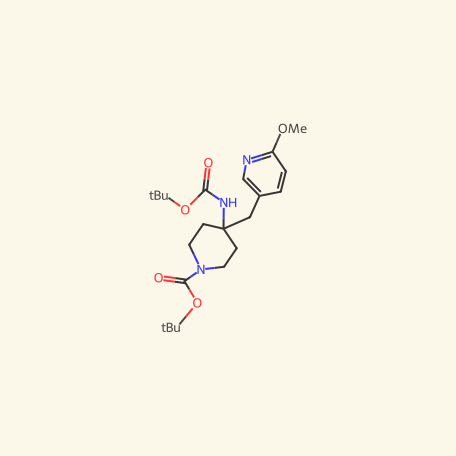 COc1ccc(CC2(NC(=O)OC(C)(C)C)CCN(C(=O)OC(C)(C)C)CC2)cn1